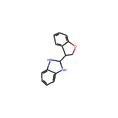 [CH]1Oc2ccccc2C1C1Nc2ccccc2N1